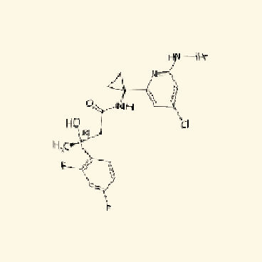 CC(C)Nc1cc(Cl)cc(C2(NC(=O)C[C@@](C)(O)c3ccc(F)cc3F)CC2)n1